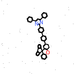 C1=C(c2ccc(-c3ccc(-c4nc(-c5ccccc5)cc(-c5ccccc5)n4)cc3)cc2)CCC2=C1C1(c3ccccc3O2)c2ccccc2-c2ccccc21